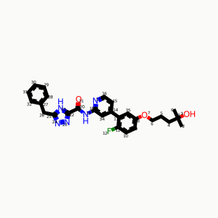 CC(C)(O)CCCOc1ccc(F)c(-c2ccnc(NC(=O)c3nnc(Cc4ccccc4)[nH]3)c2)c1